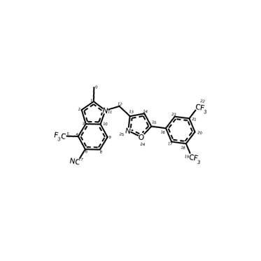 Cc1cc2c(C(F)(F)F)c(C#N)ccc2n1Cc1cc(-c2cc(C(F)(F)F)cc(C(F)(F)F)c2)on1